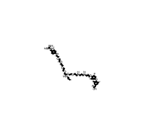 CCCNC(COCCOCCOCCOCCOc1ccc(CNC(=N)N)cc1)OCCOCCNCCCNCCCOc1c(I)cc(Oc2c(I)cc(CC(=O)O)cc2I)cc1I